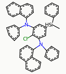 C[SiH](c1ccccc1)c1cc(N(c2ccccc2)c2cccc3ccccc23)c(Cl)c(N(c2ccccc2)c2cccc3ccccc23)c1